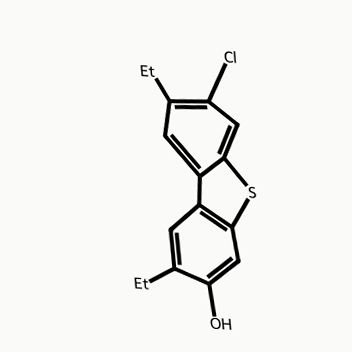 CCc1cc2c(cc1O)sc1cc(Cl)c(CC)cc12